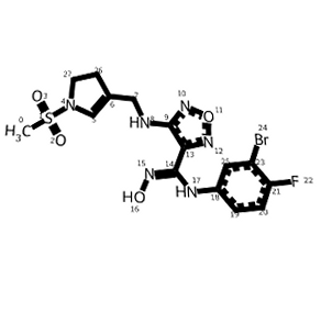 CS(=O)(=O)N1C=C(CNc2nonc2/C(=N/O)Nc2ccc(F)c(Br)c2)CC1